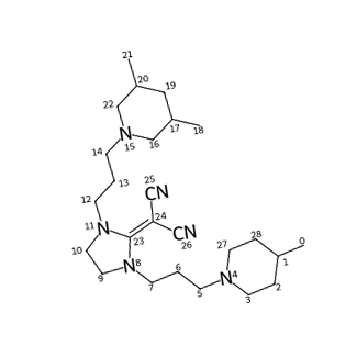 CC1CCN(CCCN2CCN(CCCN3CC(C)CC(C)C3)C2=C(C#N)C#N)CC1